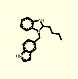 CCCCC1Nc2ccccc2N1Cc1ccc2[nH]ccc2c1